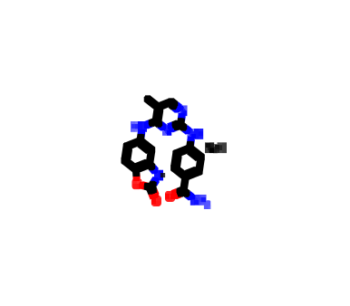 Cc1cnc(Nc2ccc(C(N)=O)cc2)nc1Nc1ccc2c(c1)[N]C(=O)O2.[NaH]